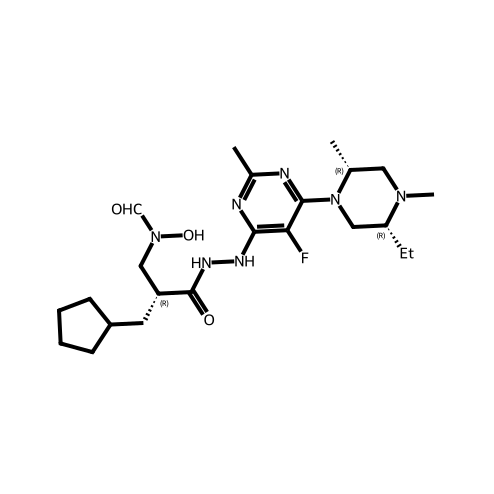 CC[C@@H]1CN(c2nc(C)nc(NNC(=O)[C@H](CC3CCCC3)CN(O)C=O)c2F)[C@H](C)CN1C